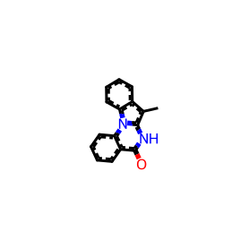 Cc1c2ccccc2n2c1[nH]c(=O)c1ccccc12